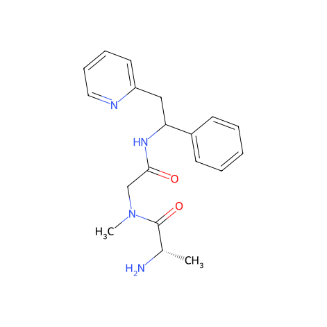 C[C@H](N)C(=O)N(C)CC(=O)NC(Cc1ccccn1)c1ccccc1